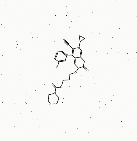 N#CC1=C(c2cccc(F)c2)C2=CC(OCCCOC(=O)N3CCOCC3)C(=O)CC2=CN1C1CC1